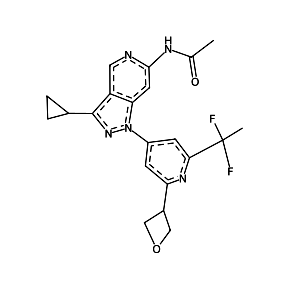 CC(=O)Nc1cc2c(cn1)c(C1CC1)nn2-c1cc(C2COC2)nc(C(C)(F)F)c1